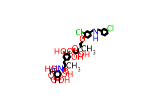 CC(=Cc1ccc(O[C@@H]2O[C@H](C(C)=CCOc3ccc(CNCc4cccc(Cl)c4)cc3Cl)[C@@H](O)[C@@H]2O)c(O)c1)C(=O)N[C@@H]1[C@H](O)[C@@H](O)[C@H]2OCO[C@H]2[C@@H]1O